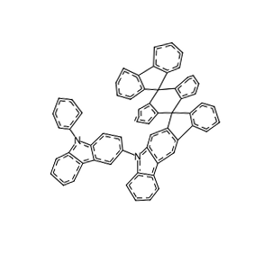 c1ccc(-n2c3ccccc3c3cc(-n4c5ccccc5c5cc6c(cc54)C4(c5ccccc5-6)c5ccccc5C5(c6ccccc6-c6ccccc65)c5ccccc54)ccc32)cc1